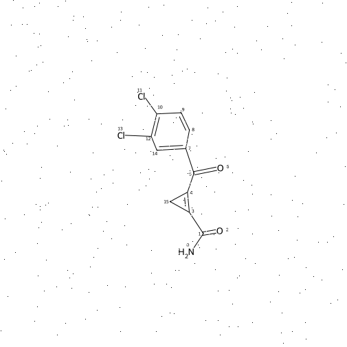 NC(=O)C1=C(C(=O)c2ccc(Cl)c(Cl)c2)C1